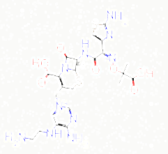 CC(C)(O/N=C(\C(=O)N[C@@H]1C(=O)N2C(C(=O)O)=C(C[n+]3cnc(N)c(NCCN)c3)CSC12)c1csc(N)n1)C(=O)O